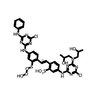 CC(O)CN(CC(C)O)c1nc(Cl)nc(Nc2ccc(/C=C/c3ccc(Nc4nc(Cl)nc(Nc5ccccc5)n4)cc3SOOO)c(S(=O)(=O)O)c2)n1